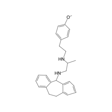 COc1ccc(CCNC(C)CNC2c3ccccc3CCc3ccccc32)cc1